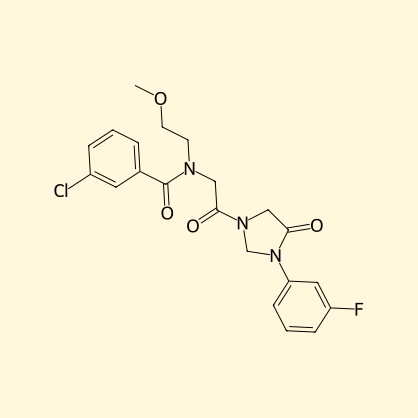 COCCN(CC(=O)N1CC(=O)N(c2cccc(F)c2)C1)C(=O)c1cccc(Cl)c1